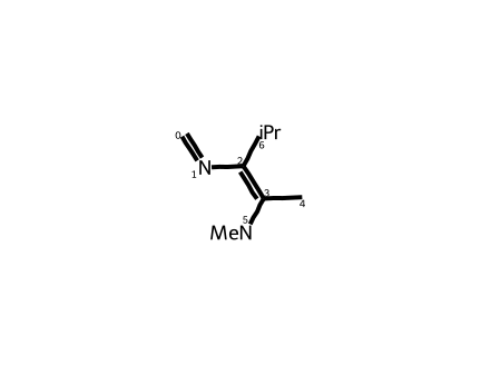 C=N/C(=C(/C)NC)C(C)C